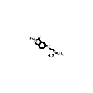 CC(C)N1Cc2ccc(OCCN(C)C)cc2C1=O